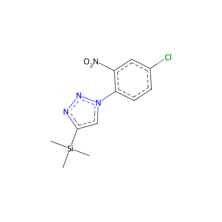 C[Si](C)(C)c1cn(-c2ccc(Cl)cc2[N+](=O)[O-])nn1